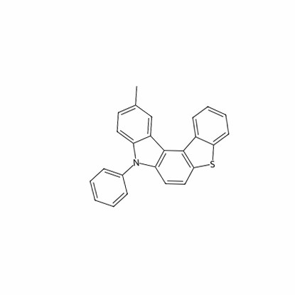 Cc1ccc2c(c1)c1c3c(ccc1n2-c1ccccc1)sc1ccccc13